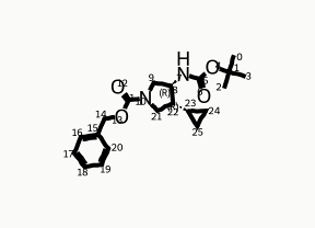 CC(C)(C)OC(=O)N[C@H]1CN(C(=O)OCc2ccccc2)C[C@H]1C1CC1